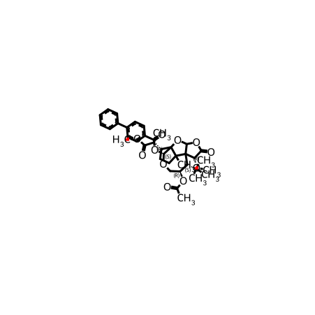 COC(=O)C(C)[C@H]1CCC2(C)C13OC1OC(=O)[C@H](OC)C12[C@H](C(C)(C)C)[C@@H](OC(C)=O)CO[C@H]3OC(=O)c1ccc(-c2ccccc2)cc1